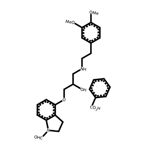 COc1ccc(CCNCC(O)COc2cccc3c2CCN3C=O)cc1OC.O=C(O)c1ccccc1